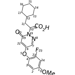 COc1ccc(Oc2cnn(C(CC3CCCCC3)C(=O)O)c(=O)c2)c(F)c1